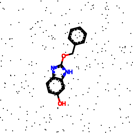 Oc1ccc2nc(OCc3ccccc3)[nH]c2c1